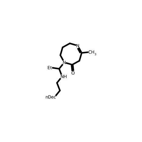 CCCCCCCCCCCCNC(CC)N1CCC/N=C(/C)CC1=O